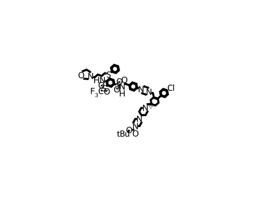 CC(C)(C)OC(=O)N1CCN(C2CCN(C[C@]3(C)CCC(c4ccc(Cl)cc4)=C(CN4CCN(c5ccc(C(=O)NS(=O)(=O)c6ccc(NC(CCN7CCCOCC7)CSc7ccccc7)c(S(=O)(=O)C(F)(F)F)c6)cc5)CC4)C3)CC2)CC1